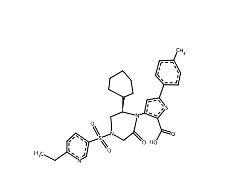 CCc1ccc(S(=O)(=O)N2CC(=O)N(c3cc(-c4ccc(C)cc4)sc3C(=O)O)[C@H](C3CCCCC3)C2)cn1